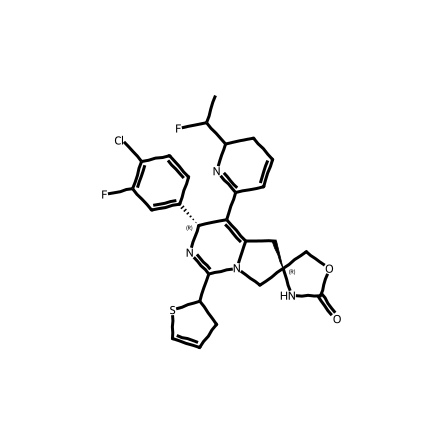 CC(F)C1CC=CC(C2=C3C[C@]4(COC(=O)N4)CN3C(C3CC=CS3)=N[C@@H]2c2ccc(Cl)c(F)c2)=N1